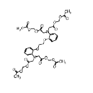 CC(=O)OCOC(=O)CN(CC(=O)OCOC(C)=O)c1ccccc1OCCOc1ccccc1N(CC(=O)OCOC(C)=O)CC(=O)OCOC(C)=O